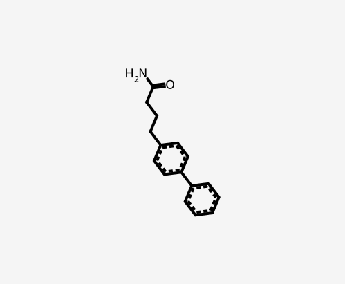 NC(=O)CCCc1ccc(-c2ccccc2)cc1